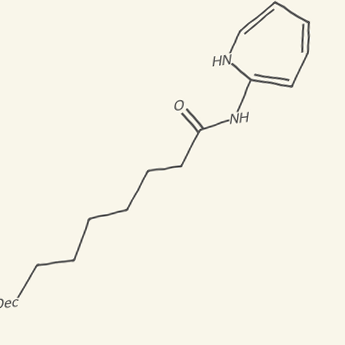 CCCCCCCCCCCCCCCCC(=O)NC1=CC=CC=CN1